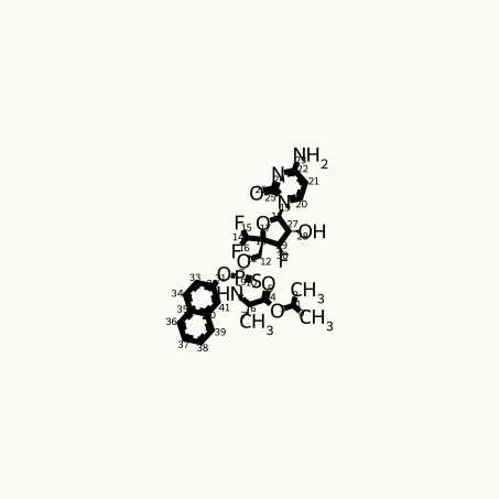 CC(C)OC(=O)[C@H](C)NP(=S)(OC[C@@]1(C(F)F)O[C@@H](n2ccc(N)nc2=O)[C@H](O)[C@H]1F)Oc1ccc2ccccc2c1